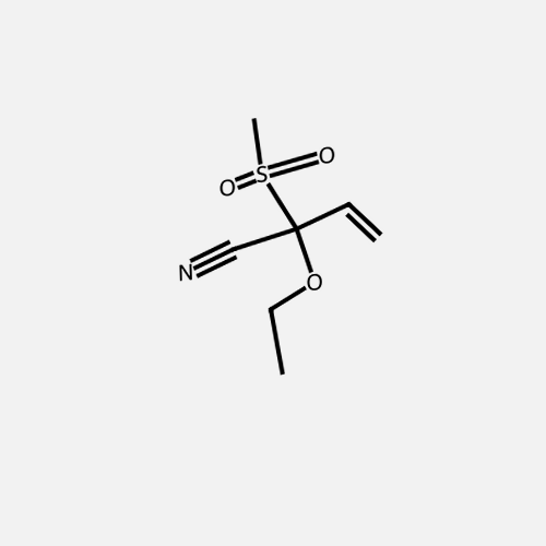 C=CC(C#N)(OCC)S(C)(=O)=O